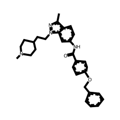 Cc1nn(CCC2CCN(C)CC2)c2cc(NC(=O)c3ccc(OCc4ccccc4)cc3)ccc12